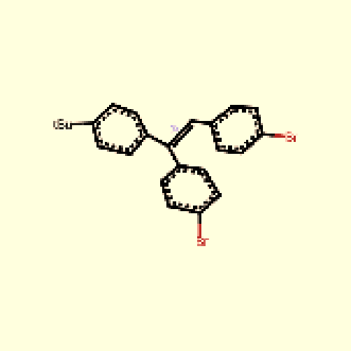 CC(C)(C)c1ccc(/C(=C/c2ccc(Br)cc2)c2ccc(Br)cc2)cc1